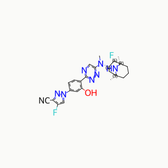 CN(c1cnc(-c2ccc(-n3cc(F)c(C#N)n3)cc2O)nn1)[C@H]1C[C@]2(C)CCC[C@@](C)(N2)[C@H]1F